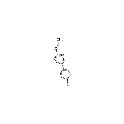 CCOc1ccc(-c2ccc(Cl)cc2)cc1